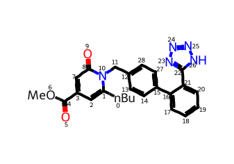 CCCCc1cc(C(=O)OC)cc(=O)n1Cc1ccc(-c2ccccc2-c2nnn[nH]2)cc1